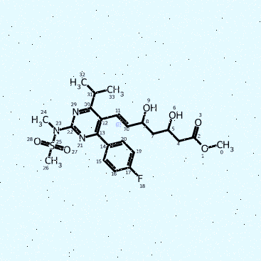 COC(=O)CC(O)CC(O)/C=C/c1c(-c2ccc(F)cc2)nc(N(C)S(C)(=O)=O)nc1C(C)C